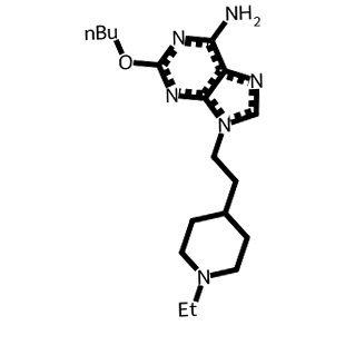 CCCCOc1nc(N)c2ncn(CCC3CCN(CC)CC3)c2n1